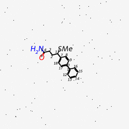 CSC(CCC(N)=O)c1ccc(-c2ccccc2)cc1